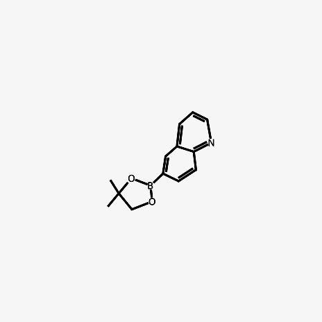 CC1(C)COB(c2ccc3ncccc3c2)O1